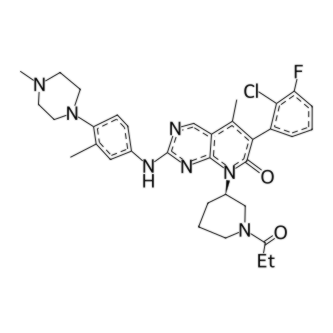 CCC(=O)N1CCC[C@@H](n2c(=O)c(-c3cccc(F)c3Cl)c(C)c3cnc(Nc4ccc(N5CCN(C)CC5)c(C)c4)nc32)C1